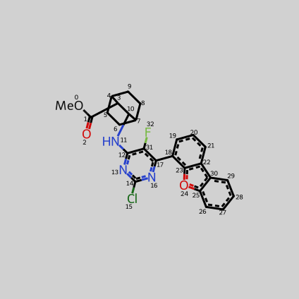 COC(=O)C1C2CCC(CC2)C1Nc1nc(Cl)nc(-c2cccc3c2oc2ccccc23)c1F